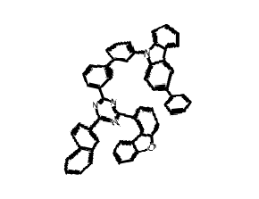 c1ccc(-c2ccc3c(c2)c2ccccc2n3-c2cccc(-c3cccc(-c4nc(-c5ccc6ccccc6c5)nc(-c5cccc6oc7ccccc7c56)n4)c3)c2)cc1